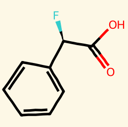 O=C(O)[C@H](F)c1ccccc1